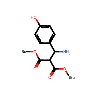 CC(C)(C)OC(=O)C(C(=O)OC(C)(C)C)C(N)c1ccc(O)cc1